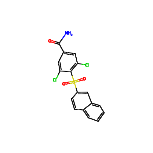 NC(=O)c1cc(Cl)c(S(=O)(=O)c2ccc3ccccc3c2)c(Cl)c1